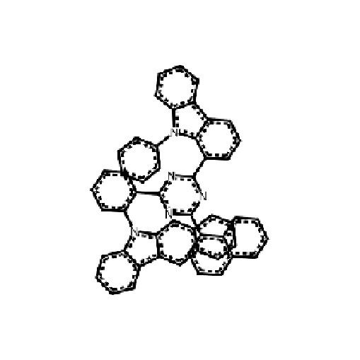 c1ccc(-n2c3ccccc3c3cccc(-c4nc(-c5ccccc5-n5c6ccccc6c6cc7ccccc7cc65)nc(-c5cccc6ccccc56)n4)c32)cc1